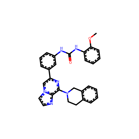 COc1ccccc1NC(=O)Nc1cccc(-c2cn3ccnc3c(N3CCc4ccccc4C3)n2)c1